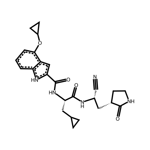 N#C[C@H](C[C@@H]1CCNC1=O)NC(=O)[C@H](CC1CC1)NC(=O)c1cc2c(OC3CC3)cccc2[nH]1